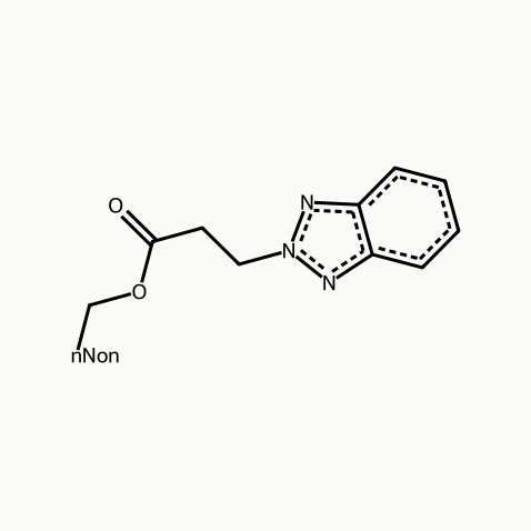 CCCCCCCCCCOC(=O)CCn1nc2ccccc2n1